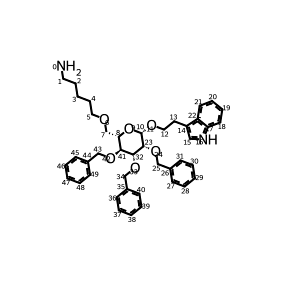 NCCCCCOC[C@@H]1O[C@H](OCCc2c[nH]c3ccccc23)[C@H](OCc2ccccc2)[C@H](OCc2ccccc2)[C@H]1OCc1ccccc1